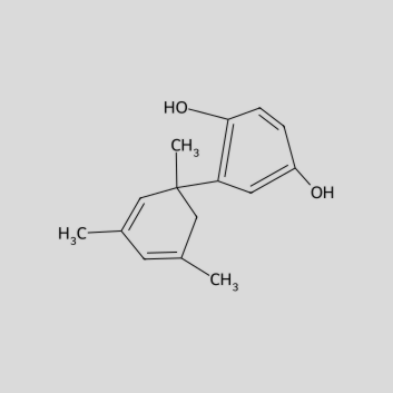 CC1=CC(C)(c2cc(O)ccc2O)CC(C)=C1